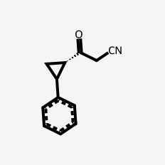 N#CCC(=O)[C@H]1CC1c1ccccc1